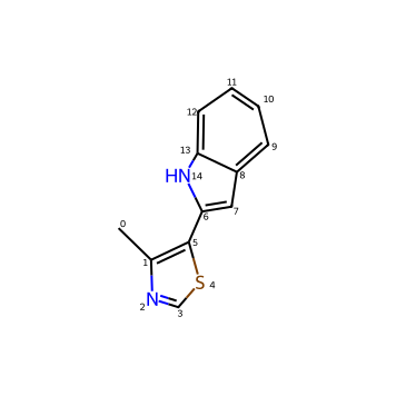 Cc1ncsc1-c1cc2ccccc2[nH]1